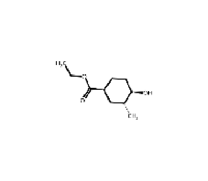 CCOC(=O)[C@H]1CC[C@@H](O)[C@H](C)C1